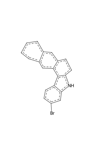 Brc1ccc2c(c1)[nH]c1ccc3cc4ccccc4cc3c12